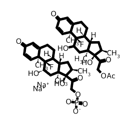 CC(=O)OCC(=O)[C@@]1(O)[C@H](C)C[C@H]2[C@@H]3CCC4=CC(=O)C=C[C@]4(C)[C@@]3(F)C(O)C[C@@]21C.C[C@@H]1C[C@H]2[C@@H]3CCC4=CC(=O)C=C[C@]4(C)[C@@]3(F)[C@@H](O)C[C@]2(C)[C@@]1(O)C(=O)COP(=O)([O-])[O-].[Na+].[Na+]